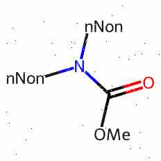 CCCCCCCCCN(CCCCCCCCC)C(=O)OC